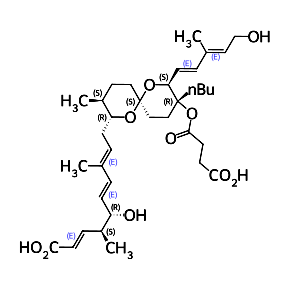 CCCC[C@@]1(OC(=O)CCC(=O)O)CC[C@]2(CC[C@H](C)[C@@H](C/C=C(C)/C=C/[C@H](O)[C@@H](C)/C=C/C(=O)O)O2)O[C@H]1/C=C/C(C)=C/CO